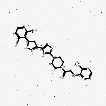 O=C(COc1nccnc1C(F)(F)F)N1CCC(c2nc(C3=NOC(c4c(F)cccc4F)C3)cs2)CC1